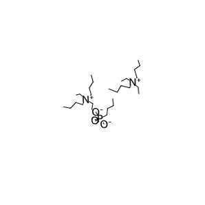 CCCCP(=O)([O-])[O-].CCCC[N+](CC)(CC)CCCC.CCCC[N+](CC)(CC)CCCC